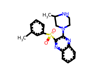 Cc1cccc(S(=O)(=O)c2nc3ccccc3nc2N2CCNC(C)C2)c1